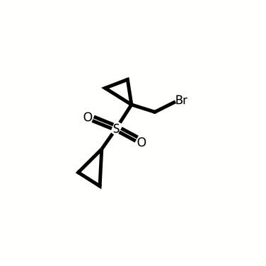 O=S(=O)(C1CC1)C1(CBr)CC1